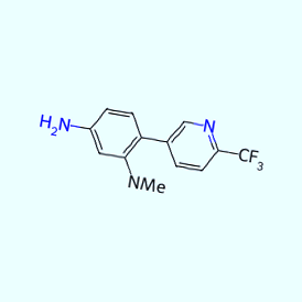 CNc1cc(N)ccc1-c1ccc(C(F)(F)F)nc1